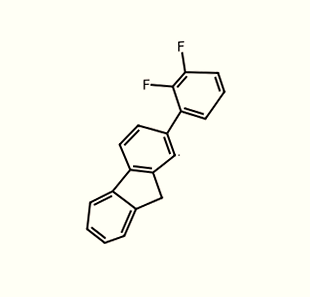 Fc1cccc(-c2[c]c3c(cc2)-c2ccccc2C3)c1F